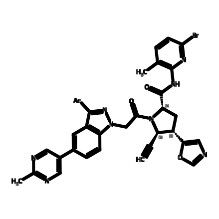 C#C[C@@H]1[C@@H](c2cnco2)C[C@@H](C(=O)Nc2nc(Br)ccc2C)N1C(=O)Cn1nc(C(C)=O)c2cc(-c3cnc(C)nc3)ccc21